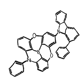 c1ccc(-c2cccc3c4ccccc4n(-c4cc5c6c(c4)Oc4cccc7c4B6c4c(cccc4N7c4ccccc4)O5)c23)cc1